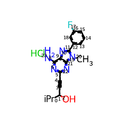 CC(C)C(O)C#Cc1nc(N)c2nc(-c3cccc(F)c3)n(C)c2n1.Cl